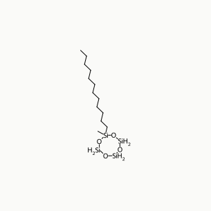 CCCCCCCCCCCC[Si]1(C)O[SiH2]O[SiH2]O[SiH2]O1